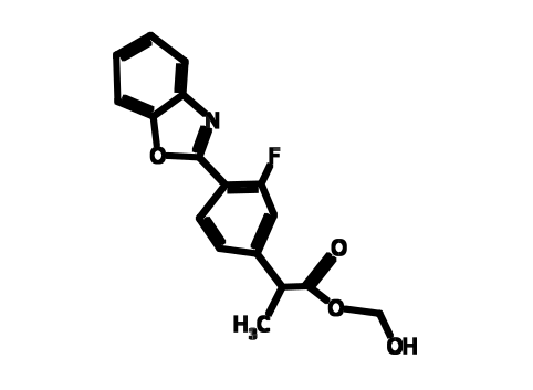 CC(C(=O)OCO)c1ccc(-c2nc3ccccc3o2)c(F)c1